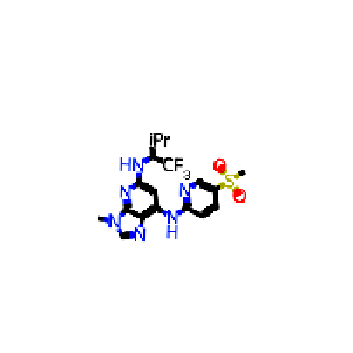 CC(C)C(Nc1cc(Nc2ccc(S(C)(=O)=O)cn2)c2ncn(C)c2n1)C(F)(F)F